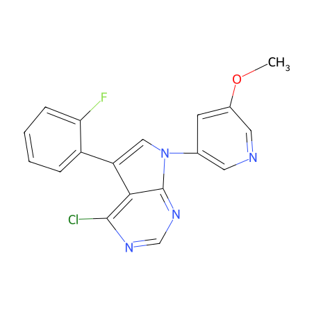 COc1cncc(-n2cc(-c3ccccc3F)c3c(Cl)ncnc32)c1